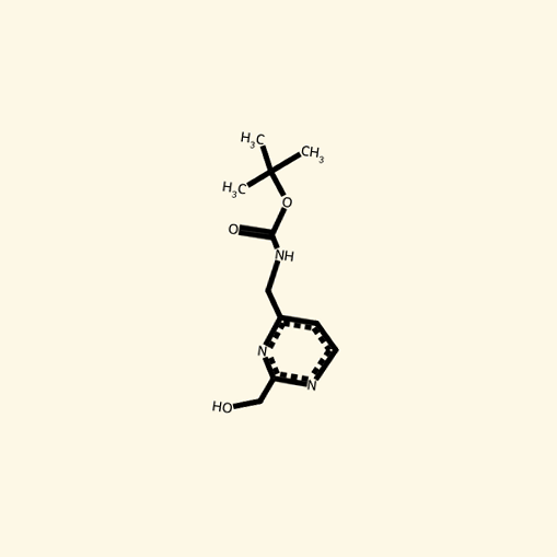 CC(C)(C)OC(=O)NCc1ccnc(CO)n1